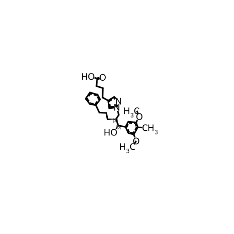 COc1cc([C@@H](O)[C@@H](CCCc2ccccc2)Cn2cc(CCCC(=O)O)cn2)cc(OC)c1C